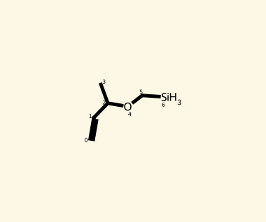 C=CC(C)OC[SiH3]